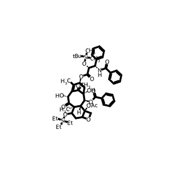 CC[Si](CC)(CC)OC1CC2OC[C@@]2(OC(C)=O)[C@H]2[C@H](OC(=O)c3ccccc3)[C@]3(O)C[C@H](OC(=O)[C@H](O[Si](C)(C)C(C)(C)C)[C@@H](NC(=O)c4ccccc4)c4ccccc4)C(C)=C([C@@H](O)C(=O)[C@]12C)C3(C)C